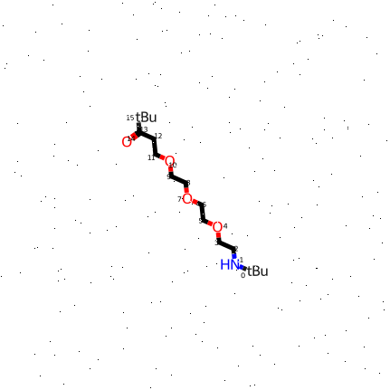 CC(C)(C)NCCOCCOCCOCCC(=O)C(C)(C)C